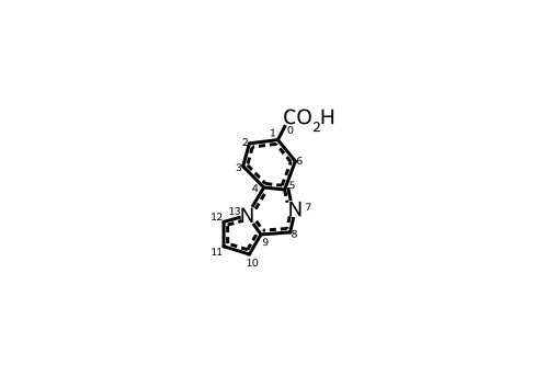 O=C(O)c1ccc2c(c1)ncc1cccn12